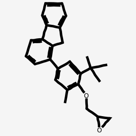 Cc1cc(-c2cccc3c2Cc2ccccc2-3)cc(C(C)(C)C)c1OCC1CO1